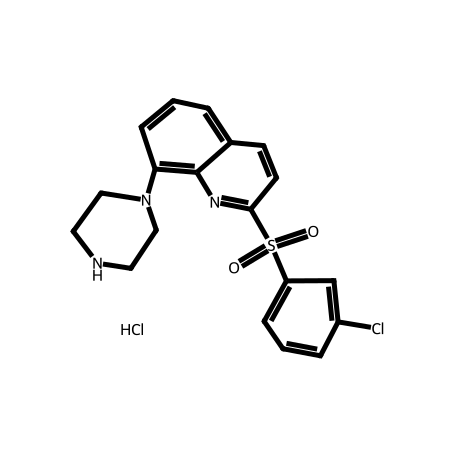 Cl.O=S(=O)(c1cccc(Cl)c1)c1ccc2cccc(N3CCNCC3)c2n1